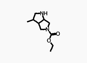 CCOC(=O)N1CC2NCC(C)C2C1